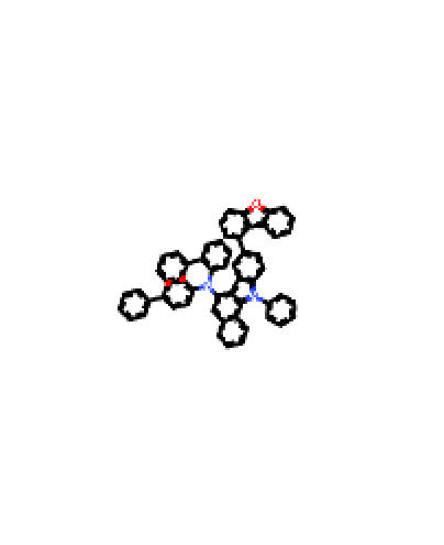 c1ccc(-c2ccc(N(c3ccccc3-c3ccccc3)c3cc4ccccc4c4c3c3cc(-c5cccc6oc7ccccc7c56)ccc3n4-c3ccccc3)cc2)cc1